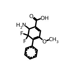 COC1=C(c2ccccc2)C(F)(F)C(N)C(C(=O)O)=C1